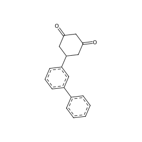 O=C1CC(=O)CC(c2cccc(-c3ccccc3)c2)C1